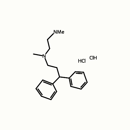 CNCCN(C)CCC(c1ccccc1)c1ccccc1.Cl.Cl